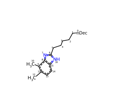 CCCCCCCCCCCCCCCc1nc2c(C)c(C)ccc2[nH]1